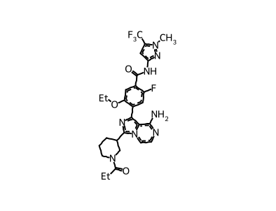 CCOc1cc(C(=O)Nc2cc(C(F)(F)F)n(C)n2)c(F)cc1-c1nc(C2CCCN(C(=O)CC)C2)n2ccnc(N)c12